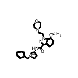 COc1cccc2c(C(=O)N[C@H]3CCN(Cc4ccccc4)C3)nn(CCN3CCOCC3)c12